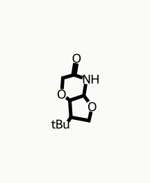 CC(C)(C)C1COC2NC(=O)COC21